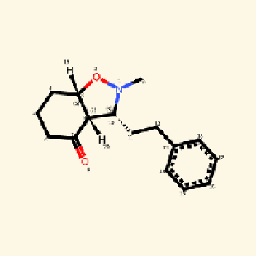 CN1O[C@H]2CCCC(=O)[C@H]2[C@H]1CCc1ccccc1